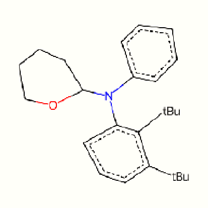 CC(C)(C)c1cccc(N(c2ccccc2)C2CCCCO2)c1C(C)(C)C